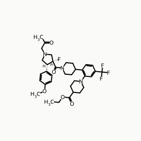 CCOC(=O)C1CCN(c2cc(C(F)(F)F)ccc2C2CCN(C(=O)[C@]3(F)CN(CC(C)=O)C[C@H]3c3ccc(OC)cc3)CC2)CC1